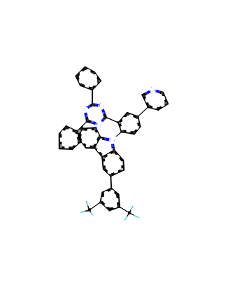 FC(F)(F)c1cc(-c2ccc3c(c2)c2ccccc2n3-c2ccc(-c3cccnc3)cc2-c2nc(-c3ccccc3)nc(-c3ccccc3)n2)cc(C(F)(F)F)c1